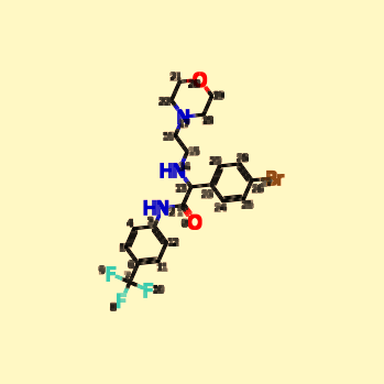 O=C(Nc1ccc(C(F)(F)F)cc1)C(NCCN1CCOCC1)c1ccc(Br)cc1